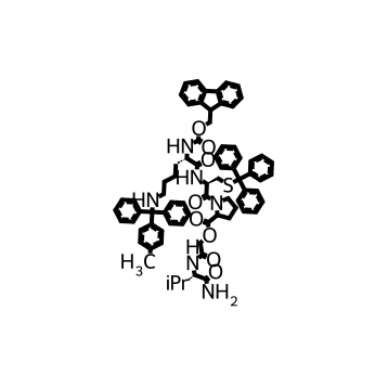 Cc1ccc(C(NCCCC[C@H](NC(=O)OCC2c3ccccc3-c3ccccc32)C(=O)N[C@@H](CSC(c2ccccc2)(c2ccccc2)c2ccccc2)C(=O)N2CCCC2C(=O)OCC(=O)N[C@H](C(N)=O)C(C)C)(c2ccccc2)c2ccccc2)cc1